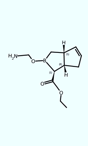 CCOC(=O)[C@H]1B(OCN)C[C@@H]2C=CC[C@H]12